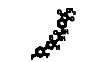 CN1C(=O)c2ccc(NC(=O)N[C@H]3[C@@H]4CN(c5ccc(F)cc5F)C[C@@H]43)cc2C1=O